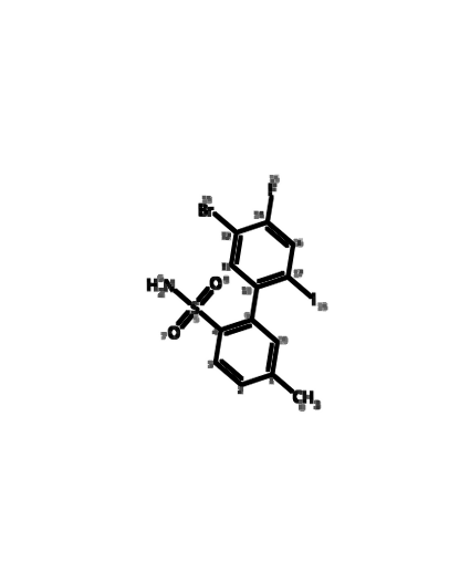 Cc1ccc(S(N)(=O)=O)c(-c2cc(Br)c(F)cc2I)c1